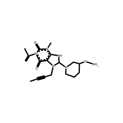 C=C(C)n1c(=O)c2c(n(C)c1=O)NC(N1CCCC(ON)C1)N2CC#CC